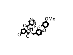 COc1ccc(Oc2ccc(CNC(=O)C3(NC(=O)c4cncnc4)CCC(=O)C3)cc2)c(C(F)(F)F)c1